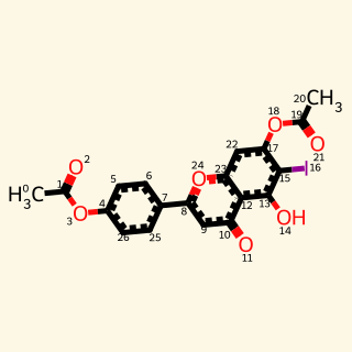 CC(=O)Oc1ccc(-c2cc(=O)c3c(O)c(I)c(OC(C)=O)cc3o2)cc1